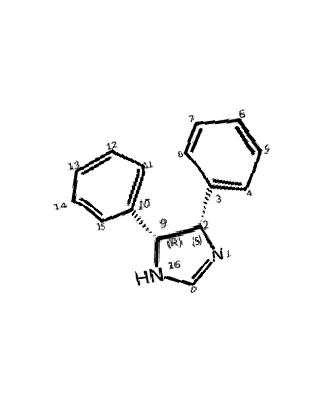 C1=N[C@@H](c2ccccc2)[C@@H](c2ccccc2)N1